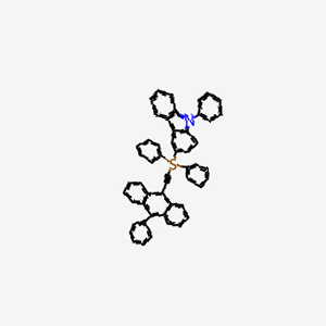 C(#CS(c1ccccc1)(c1ccccc1)c1ccc2c(c1)c1ccccc1n2-c1ccccc1)c1c2ccccc2c(-c2ccccc2)c2ccccc12